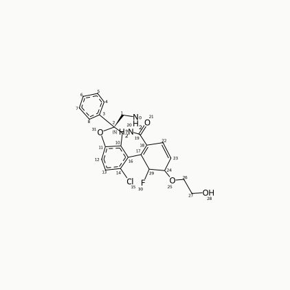 NC[C@@]1(c2ccccc2)Cc2c(ccc(Cl)c2C2=C(C(N)=O)C=CC(OCCO)C2F)O1